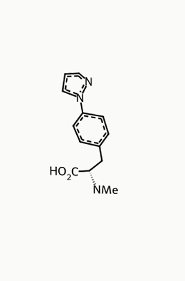 CN[C@@H](Cc1ccc(-n2cccn2)cc1)C(=O)O